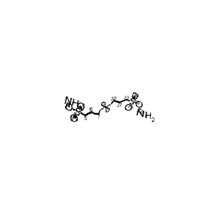 NOS(=O)(=O)CCCSSCCCS(=O)(=O)ON